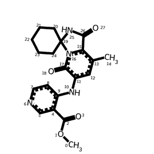 COC(=O)c1cnccc1Nc1cc(C)c2n(c1=O)C1(CCCCC1)NC2=O